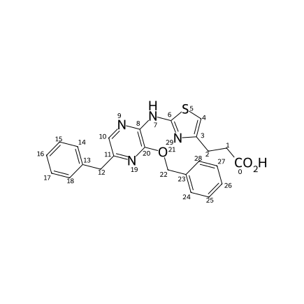 O=C(O)CCc1csc(Nc2ncc(Cc3ccccc3)nc2OCc2ccccc2)n1